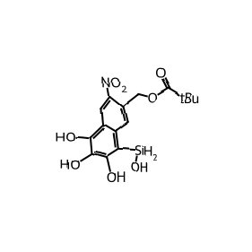 CC(C)(C)C(=O)OCc1cc2c([SiH2]O)c(O)c(O)c(O)c2cc1[N+](=O)[O-]